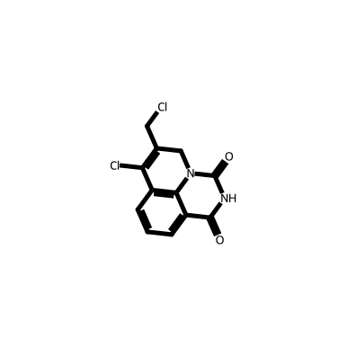 O=c1[nH]c(=O)n2c3c(cccc13)C(Cl)=C(CCl)C2